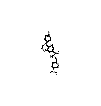 C[S+]([O-])c1ccc(CNC(=O)c2cnc3c(c2)OCCN3c2ccc(F)cc2)nc1